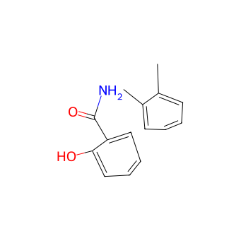 Cc1ccccc1C.NC(=O)c1ccccc1O